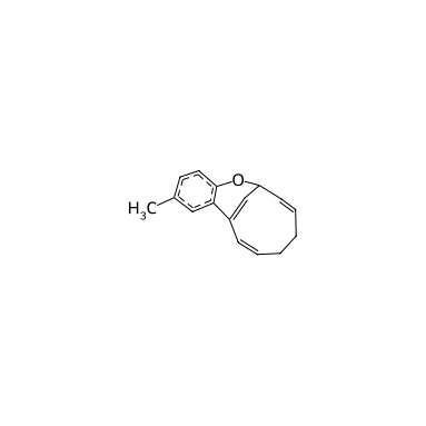 Cc1ccc2c(c1)C1=CC(/C=C\CC/C=C\1)O2